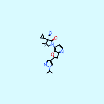 CC(C)n1cc(-c2cc3nccc(N4C[C@@H](C)[C@@](C#N)(C5CC5)C4=O)c3o2)cn1